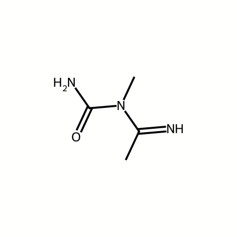 CC(=N)N(C)C(N)=O